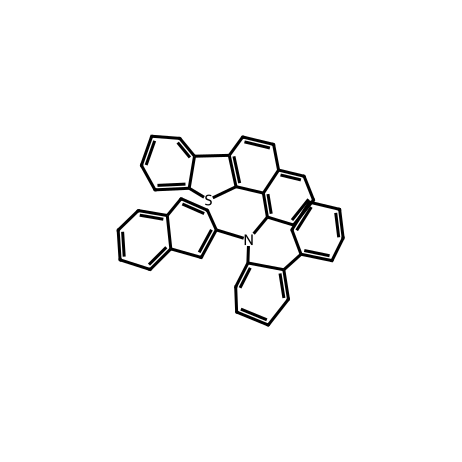 c1ccc(-c2ccccc2N(c2ccc3ccccc3c2)c2cccc3ccc4c5ccccc5sc4c23)cc1